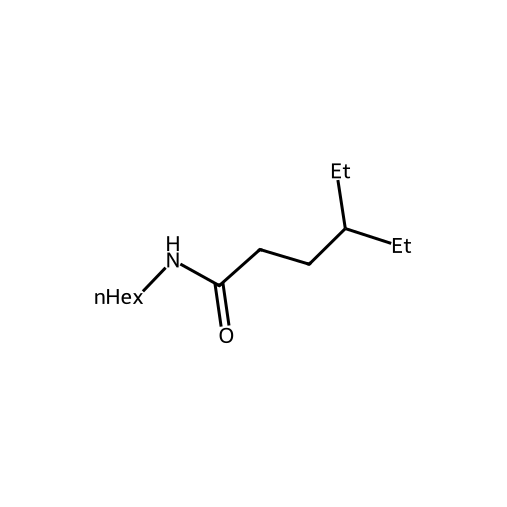 CCCCCCNC(=O)CCC(CC)CC